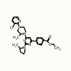 CCOC(=O)c1ccc(-c2cc(N3CCN(c4ncccc4Cl)CC3C)nc(N3CCCC3C)n2)cc1